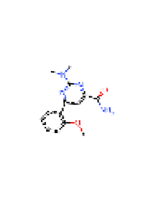 COc1ccccc1-c1cc(C(N)=O)nc(N(C)C)n1